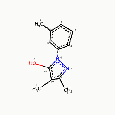 Cc1cccc(-n2nc(C)c(C)c2O)c1